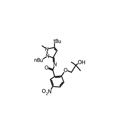 CCCCn1c(=NC(=O)c2cc([N+](=O)[O-])ccc2OCC(C)(C)O)cc(C(C)(C)C)n1C